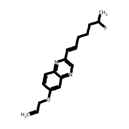 C=CCOc1ccc2nc(/C=C/CCCC(C)F)cnc2c1